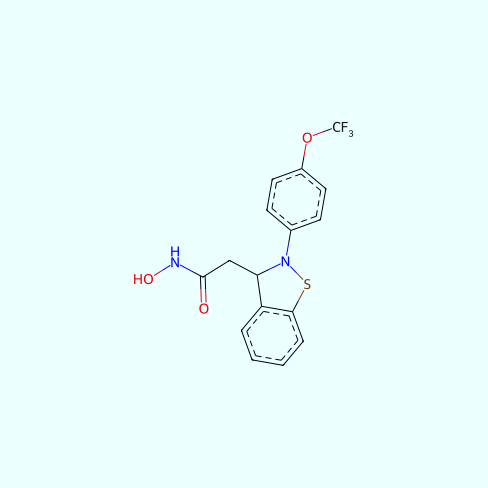 O=C(CC1c2ccccc2SN1c1ccc(OC(F)(F)F)cc1)NO